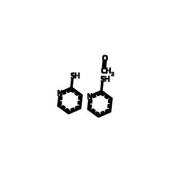 C=O.Sc1ccccn1.Sc1ccccn1